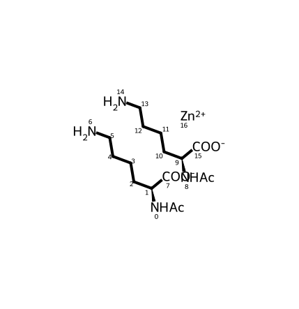 CC(=O)N[C@@H](CCCCN)C(=O)[O-].CC(=O)N[C@@H](CCCCN)C(=O)[O-].[Zn+2]